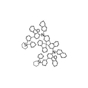 c1ccc([Si]2(c3cccc(-c4ccc(N(c5ccc6c(c5)C5(c7ccccc7-c7ccccc75)c5cc(N(c7ccc8ccccc8c7)c7ccc(-c8cccc([Si]9(c%10ccccc%10)CCCCC9)c8)c8c7oc7ccccc78)c7ccccc7c5-6)c5ccc6ccccc6c5)c5oc6ccccc6c45)c3)CCCCC2)cc1